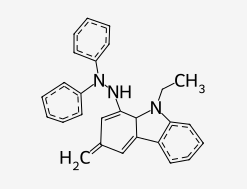 C=C1C=C(NN(c2ccccc2)c2ccccc2)C2C(=C1)c1ccccc1N2CC